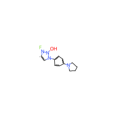 ON1N(F)[C]=CN1c1ccc(N2CCCC2)cc1